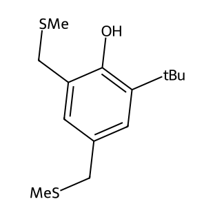 CSCc1cc(CSC)c(O)c(C(C)(C)C)c1